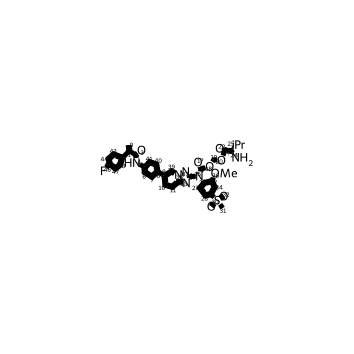 C=C(C(=O)Nc1ccc(-c2ccc3nc(N(C(=O)OCOC(=O)[C@@H](N)C(C)C)c4ccc(S(C)(=O)=O)cc4OC)nn3c2)cc1)c1ccc(F)cc1